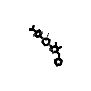 C=C(C)c1cnc(N2CCN(c3nnc(Cc4ccccc4)c(C)c3C)C[C@H]2C)cn1